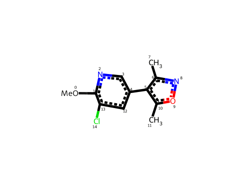 COc1ncc(-c2c(C)noc2C)cc1Cl